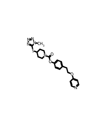 Cn1nnnc1SC1CCN(C(=O)Oc2ccc(CCOc3ccncc3)cc2)CC1